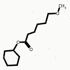 COCCCCCC(=O)OC1CCCCC1